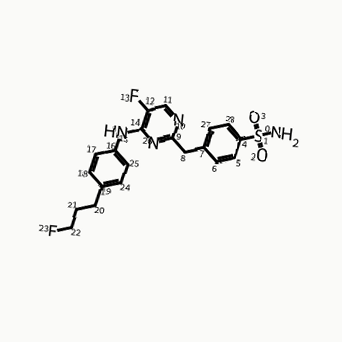 NS(=O)(=O)c1ccc(Cc2ncc(F)c(Nc3ccc(CCCF)cc3)n2)cc1